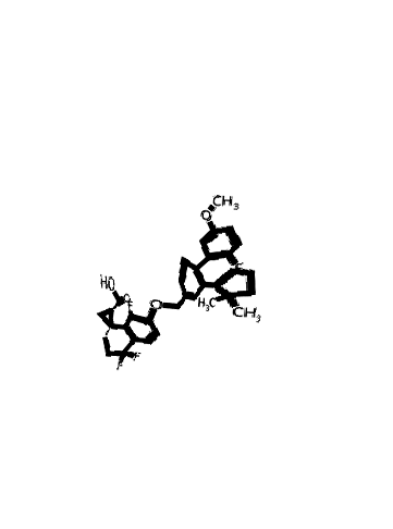 COc1ccc(F)c(-c2ccc(COc3ccc4c(c3F)[C@@]3(CCC4(F)F)C[C@H]3C(=O)O)cc2C2=CCCC2(C)C)c1